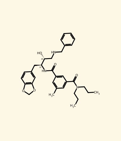 CCCN(CCC)C(=O)c1cc(C)cc(C(=O)N[C@@H](Cc2ccc3c(c2)OCO3)[C@H](O)CNCc2ccccc2)c1